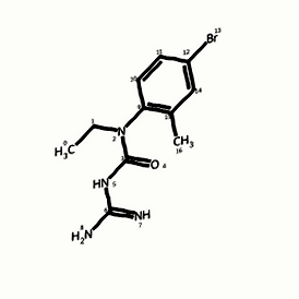 CCN(C(=O)NC(=N)N)c1ccc(Br)cc1C